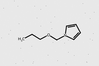 CCCOCn1cccc1